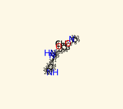 COc1cc(OCc2ccccn2)ccc1C=Cc1cc(C=Cc2ccc3[nH]ccc3c2)n[nH]1